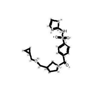 O=C(c1ccc(S(=O)(=O)Nc2nccs2)cc1)N1CCC(COCC2CC2)C1